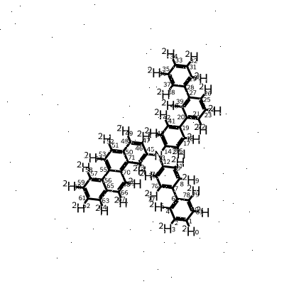 [2H]c1c([2H])c([2H])c(-c2c([2H])c([2H])c(N(c3c([2H])c([2H])c(-c4c([2H])c([2H])c([2H])c(-c5c([2H])c([2H])c([2H])c([2H])c5[2H])c4[2H])c([2H])c3[2H])c3c([2H])c([2H])c4c([2H])c([2H])c5c6c([2H])c([2H])c([2H])c([2H])c6c([2H])c([2H])c5c4c3[2H])c([2H])c2[2H])c([2H])c1[2H]